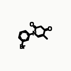 CC1=CN(c2cccc(Br)c2)C(=O)CC1=O